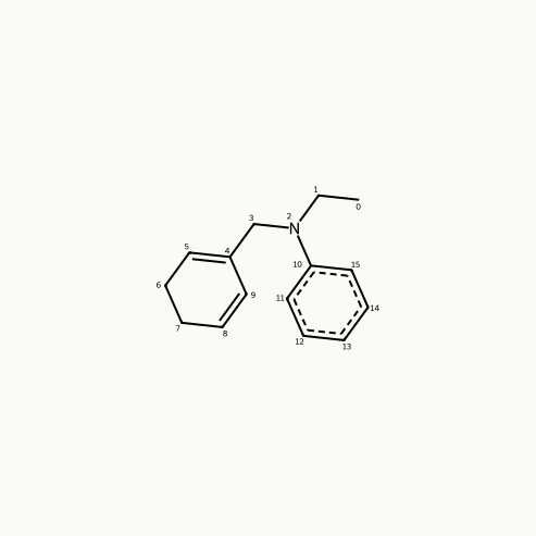 CCN(CC1=CCCC=C1)c1ccccc1